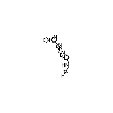 FC12CC(CNCc3ccc4nc(Cn5cc(-c6cncc(N7CCCC7)c6)nn5)cn4c3)(C1)C2